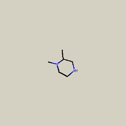 CC1[CH]NCCN1C